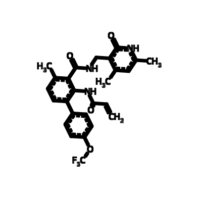 C=CC(=O)Nc1c(-c2ccc(OC(F)(F)F)cc2)ccc(C)c1C(=O)NCc1c(C)cc(C)[nH]c1=O